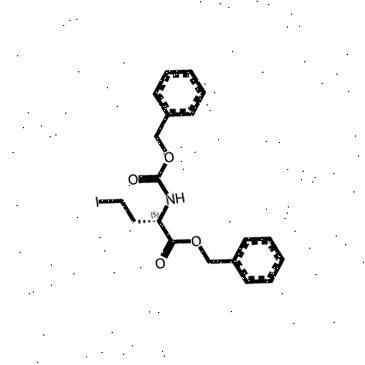 O=C(N[C@@H](CCI)C(=O)OCc1ccccc1)OCc1ccccc1